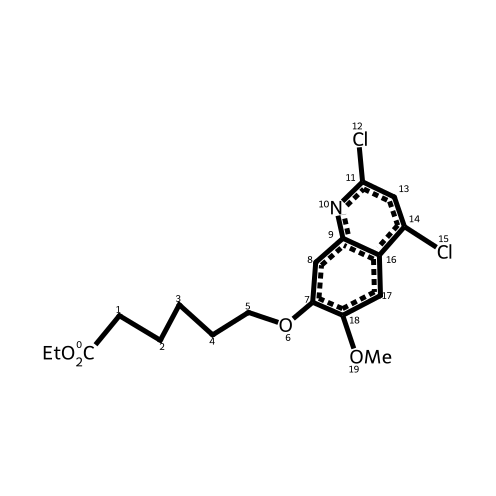 CCOC(=O)CCCCCOc1cc2nc(Cl)cc(Cl)c2cc1OC